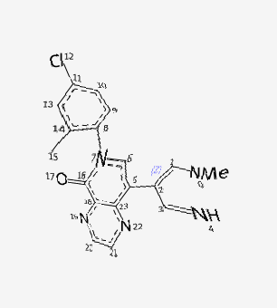 CN/C=C(\C=N)c1cn(-c2ccc(Cl)cc2C)c(=O)c2nccnc12